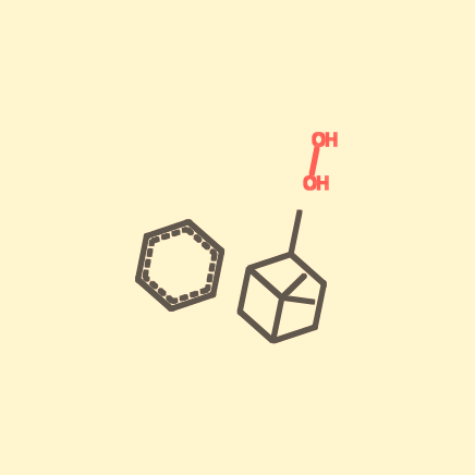 CC1CCC2CC1C2(C)C.OO.c1ccccc1